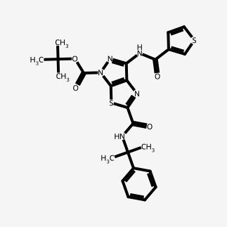 CC(C)(C)OC(=O)n1nc(NC(=O)c2ccsc2)c2nc(C(=O)NC(C)(C)c3ccccc3)sc21